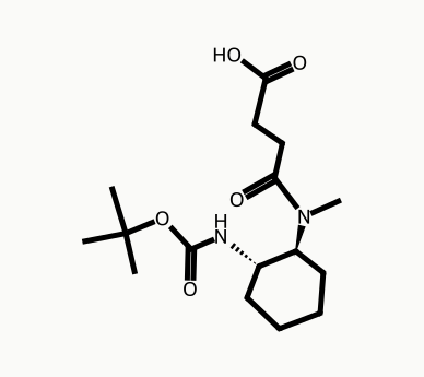 CN(C(=O)CCC(=O)O)[C@H]1CCCC[C@@H]1NC(=O)OC(C)(C)C